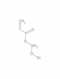 C=CC(=O)O[SiH2]OCC